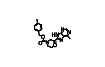 Cc1ccc(COC(=O)N2CCO[C@H](c3nc4c(C)ncnc4[nH]3)C2)cc1